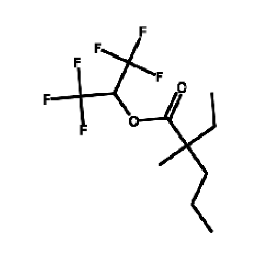 CCCC(C)(CC)C(=O)OC(C(F)(F)F)C(F)(F)F